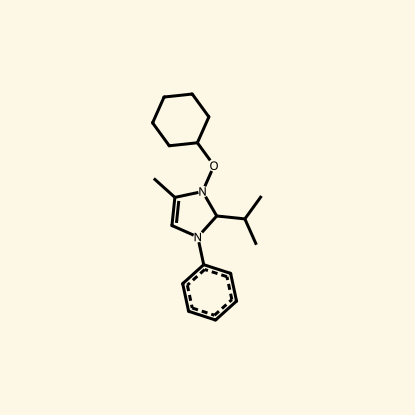 CC1=CN(c2ccccc2)C(C(C)C)N1OC1CCCCC1